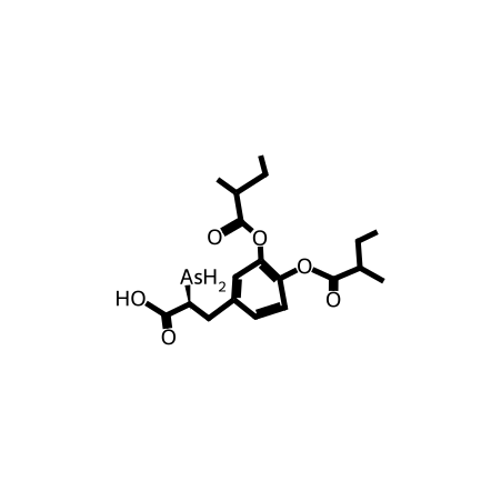 CCC(C)C(=O)Oc1ccc(C[C@H]([AsH2])C(=O)O)cc1OC(=O)C(C)CC